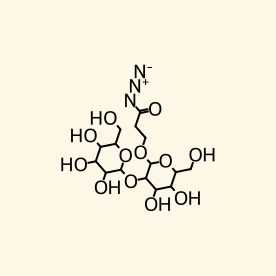 [N-]=[N+]=NC(=O)CCOC1OC(CO)C(O)C(O)C1OC1OC(CO)C(O)C(O)C1O